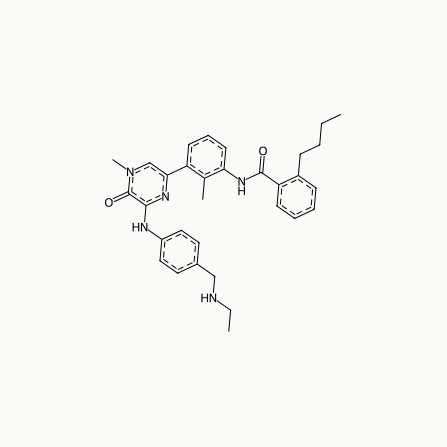 CCCCc1ccccc1C(=O)Nc1cccc(-c2cn(C)c(=O)c(Nc3ccc(CNCC)cc3)n2)c1C